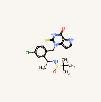 C[C@@H](N[S@+]([O-])C(C)(C)C)c1cc(Cl)ccc1Cn1c(=S)[nH]c(=O)c2[nH]ccc21